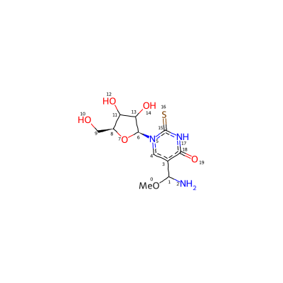 COC(N)c1cn([C@H]2O[C@@H](CO)C(O)C2O)c(=S)[nH]c1=O